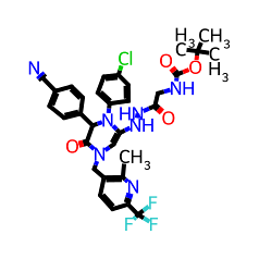 Cc1nc(C(F)(F)F)ccc1CN1C=C(NNC(=O)CNC(=O)OC(C)(C)C)N(c2ccc(Cl)cc2)C(c2ccc(C#N)cc2)C1=O